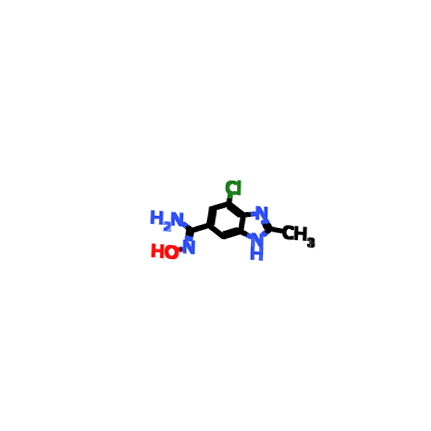 Cc1nc2c(Cl)cc(C(N)=NO)cc2[nH]1